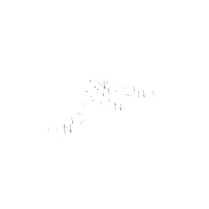 NC(=NC(=O)OCc1ccc([N+](=O)[O-])cc1)N(C[C@H]1CCNC1)C(=O)OCc1ccc([N+](=O)[O-])cc1